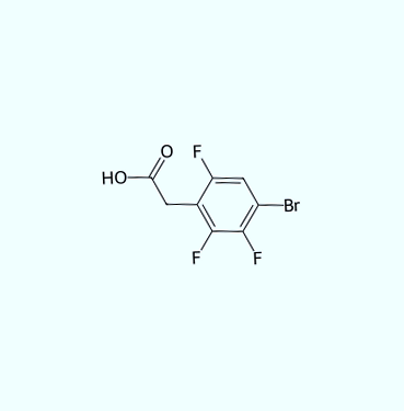 O=C(O)Cc1c(F)cc(Br)c(F)c1F